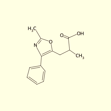 Cc1nc(-c2ccccc2)c(CC(C)C(=O)O)o1